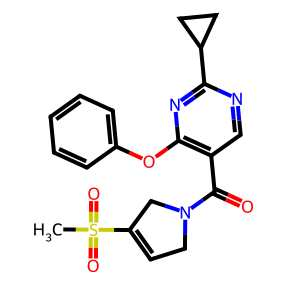 CS(=O)(=O)C1=CCN(C(=O)c2cnc(C3CC3)nc2Oc2ccccc2)C1